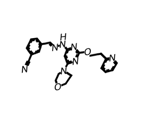 N#Cc1cccc(/C=N/Nc2cc(N3CCOCC3)nc(OCCc3ccccn3)n2)c1